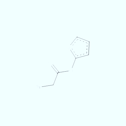 O=C(CBr)Oc1cccs1